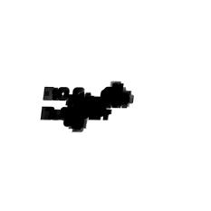 CCCC(NC(=O)[C@@H]1[C@@H]2[C@H](CN1C(=O)[C@@H](NC(=O)OCC(C)C)C1CCCCC1)[C@@H]2C(=O)OCC)C(=O)C(=O)NCC(=O)NC(C(=O)N(C)C)c1ccccc1